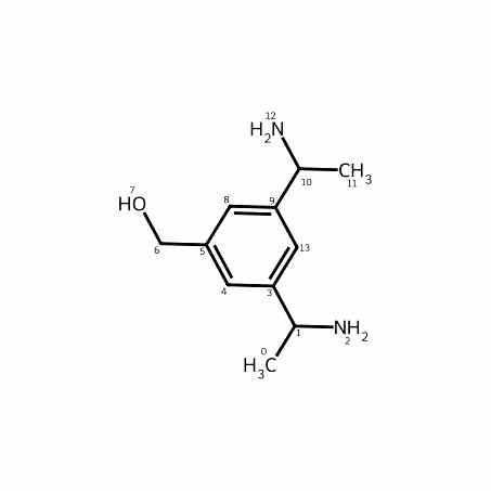 CC(N)c1cc(CO)cc(C(C)N)c1